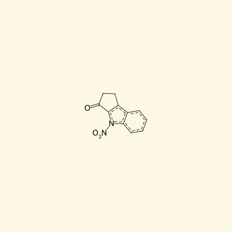 O=C1CCc2c1n([N+](=O)[O-])c1ccccc21